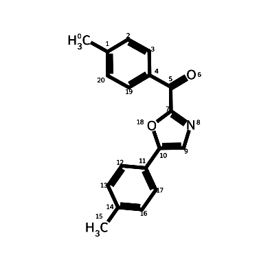 Cc1ccc(C(=O)c2ncc(-c3ccc(C)cc3)o2)cc1